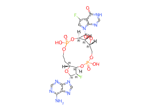 Nc1ncnc2c1ncn2[C@@H]1O[C@@H]2CCOP(=O)(O)O[C@@H]3[C@H](O)[C@@H](COP(=O)(O)O[C@H]2[C@H]1F)O[C@H]3n1cc(F)c2c(=O)[nH]cnc21